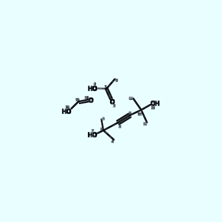 CC(=O)O.CC(C)(O)C#CC(C)(C)O.O=CO